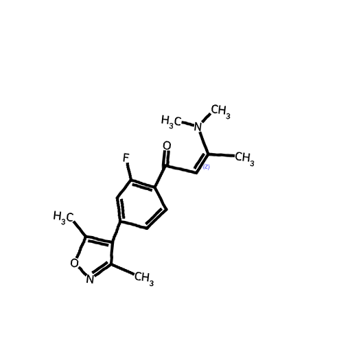 C/C(=C/C(=O)c1ccc(-c2c(C)noc2C)cc1F)N(C)C